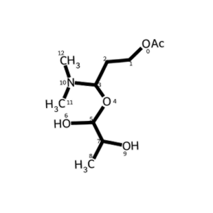 CC(=O)OCCC(OC(O)C(C)O)N(C)C